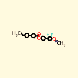 C/C=C/Oc1ccc(C2CCC(OC(=O)C3CCC(C4CCC(CCC)CC4)CC3)CC2)c(F)c1F